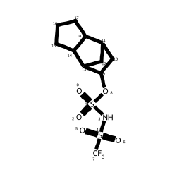 O=S(=O)(NS(=O)(=O)C(F)(F)F)OC1CC2CC1C1CCCC21